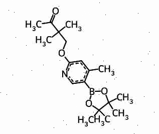 CC(=O)C(C)(C)COc1cc(C)c(B2OC(C)(C)C(C)(C)O2)cn1